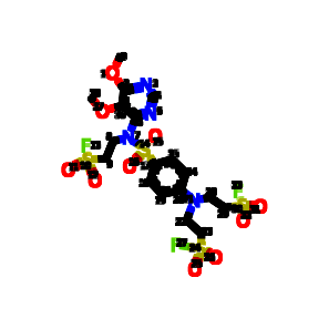 COc1ncnc(N(CCS(=O)(=O)F)S(=O)(=O)c2ccc(N(CCS(=O)(=O)F)CCS(=O)(=O)F)cc2)c1OC